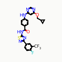 O=C(Nc1nc(-c2ccc(F)c(C(F)(F)F)c2)ns1)c1ccc(Nc2cc(OCC3CC3)ncn2)cc1